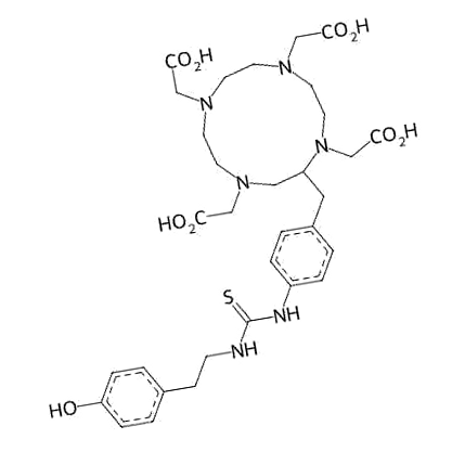 O=C(O)CN1CCN(CC(=O)O)CCN(CC(=O)O)C(Cc2ccc(NC(=S)NCCc3ccc(O)cc3)cc2)CN(CC(=O)O)CC1